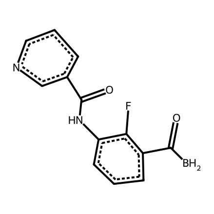 BC(=O)c1cccc(NC(=O)c2cccnc2)c1F